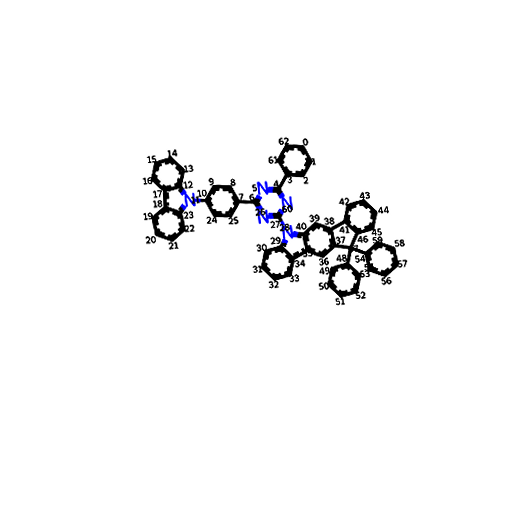 c1ccc(-c2nc(-c3ccc(-n4c5ccccc5c5ccccc54)cc3)nc(-n3c4ccccc4c4cc5c(cc43)-c3ccccc3C5(c3ccccc3)c3ccccc3)n2)cc1